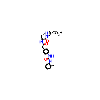 Cc1ccccc1NC(=O)Nc1ccc(CC(=O)N[C@@H](CC(C)C)C(=O)NC[C@H](C)C(=O)O)cc1